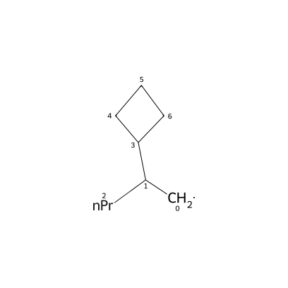 [CH2]C(CCC)C1CCC1